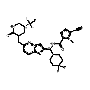 Cn1c(C#N)ccc1C(=O)N[C@H](c1cn2nc(CC3C[C@@H](C(F)(F)F)CNC3=O)ccc2n1)C1CCC(F)(F)CC1